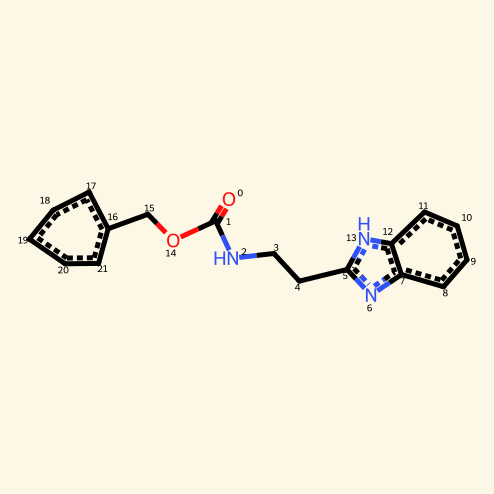 O=C(NCCc1nc2ccccc2[nH]1)OCc1ccccc1